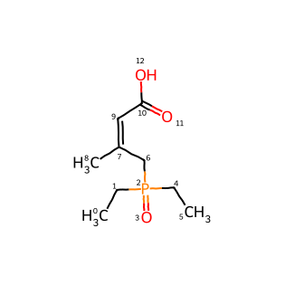 CCP(=O)(CC)C/C(C)=C\C(=O)O